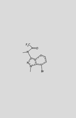 CN(C(=O)C(F)(F)F)c1nn(C)c2c(Br)cccc12